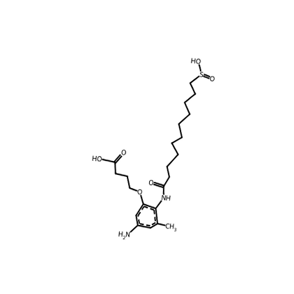 Cc1cc(N)cc(OCCCC(=O)O)c1NC(=O)CCCCCCCCCCS(=O)O